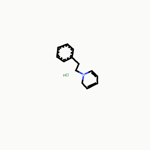 C1=CCN(CCc2ccccc2)C=C1.Cl